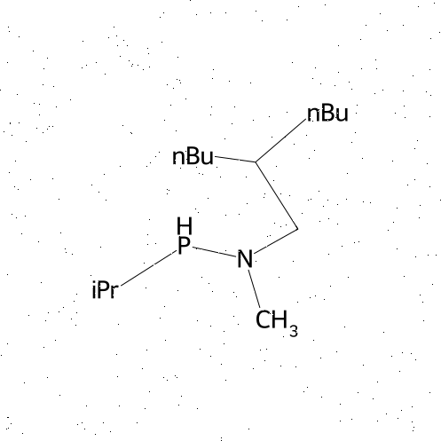 CCCCC(CCCC)CN(C)PC(C)C